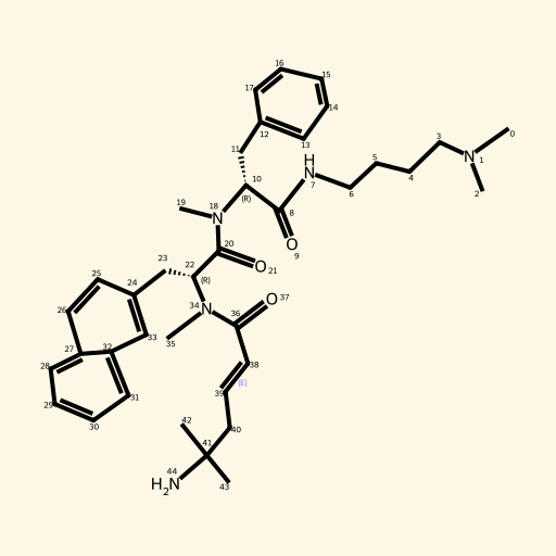 CN(C)CCCCNC(=O)[C@@H](Cc1ccccc1)N(C)C(=O)[C@@H](Cc1ccc2ccccc2c1)N(C)C(=O)/C=C/CC(C)(C)N